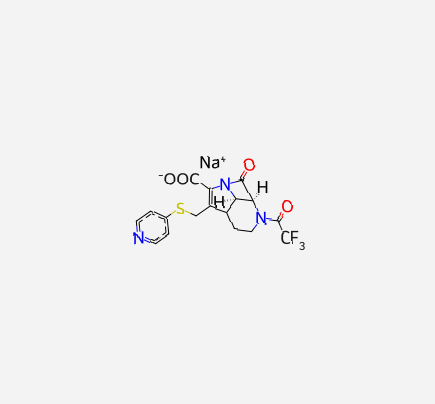 O=C([O-])C1=C(CSc2ccncc2)C2CCN(C(=O)C(F)(F)F)[C@@H]3C(=O)N1[C@H]23.[Na+]